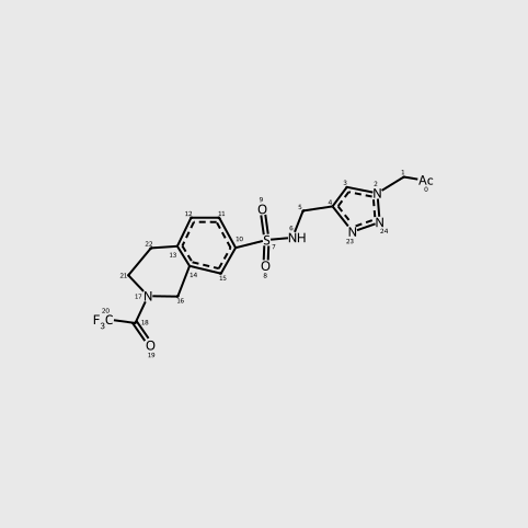 CC(=O)Cn1cc(CNS(=O)(=O)c2ccc3c(c2)CN(C(=O)C(F)(F)F)CC3)nn1